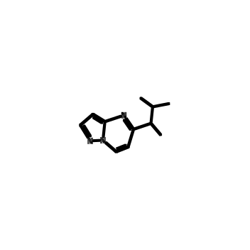 CC(C)C(C)c1ccn2nccc2n1